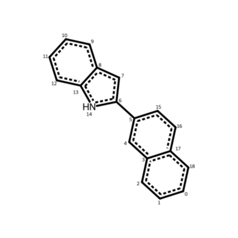 c1ccc2cc(-c3cc4ccccc4[nH]3)ccc2c1